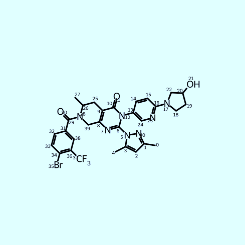 Cc1cc(C)n(-c2nc3c(c(=O)n2-c2ccc(N4CCC(O)C4)nc2)CC(C)N(C(=O)c2ccc(Br)c(C(F)(F)F)c2)C3)n1